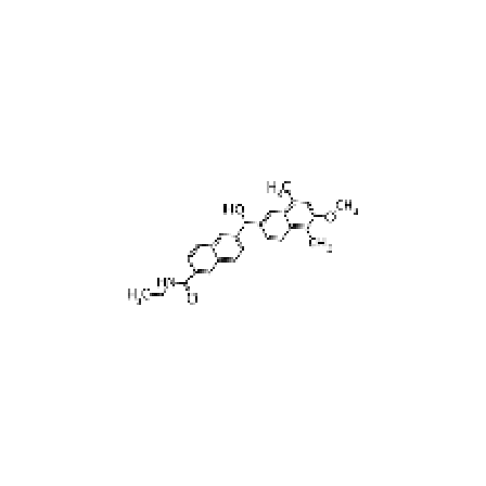 CCNC(=O)c1ccc2cc(C(O)c3ccc4c(C)c(OC)cc(C)c4c3)ccc2c1